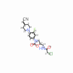 N#CC=C1CCN(c2ccc(N3CC(CNC(=O)CCl)OC3=O)cc2F)CC1